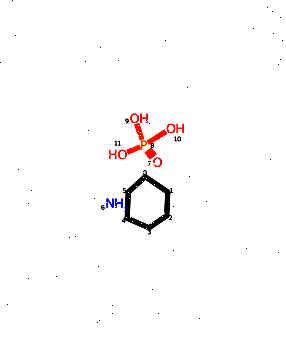 C1CCCCC1.N.O=P(O)(O)O